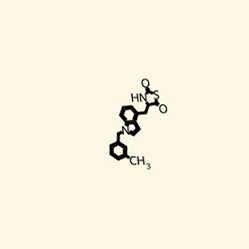 Cc1cccc(Cn2ccc3c(CC4NC(=O)SC4=O)cccc32)c1